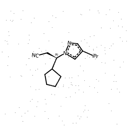 CC(C)c1cnn([C@H](CC#N)C2CCCC2)c1